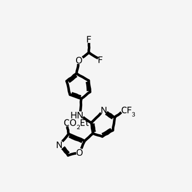 CCOC(=O)c1ncoc1-c1ccc(C(F)(F)F)nc1Nc1ccc(OC(F)F)cc1